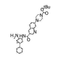 CC(C)(C)OC(=O)N1CCN(c2ccc3cc(C(=O)Nc4cc(-c5ccccc5)sc4N)cnc3c2)CC1